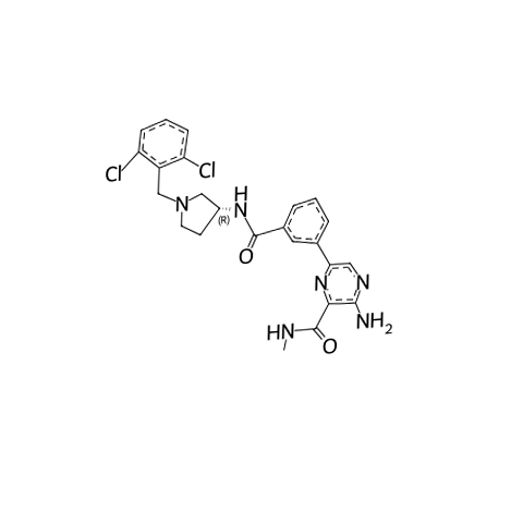 CNC(=O)c1nc(-c2cccc(C(=O)N[C@@H]3CCN(Cc4c(Cl)cccc4Cl)C3)c2)cnc1N